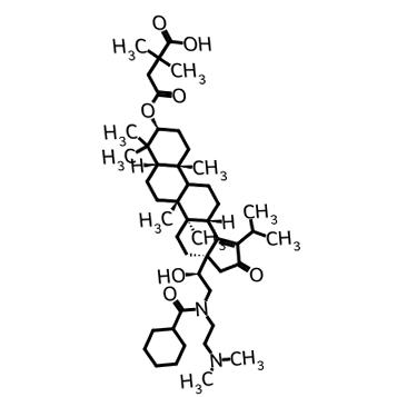 CC(C)C1=C2[C@H]3CCC4[C@@]5(C)CC[C@H](OC(=O)CC(C)(C)C(=O)O)C(C)(C)[C@H]5CC[C@@]4(C)[C@]3(C)CC[C@@]2([C@H](O)CN(CCN(C)C)C(=O)C2CCCCC2)CC1=O